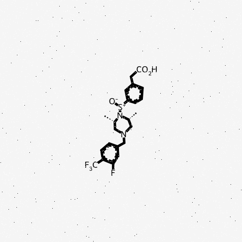 C[C@@H]1CN(Cc2ccc(C(F)(F)F)c(F)c2)C[C@H](C)N1[S+]([O-])c1cccc(CC(=O)O)c1